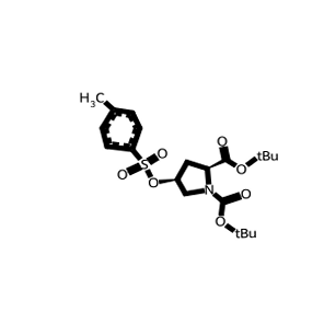 Cc1ccc(S(=O)(=O)O[C@H]2C[C@@H](C(=O)OC(C)(C)C)N(C(=O)OC(C)(C)C)C2)cc1